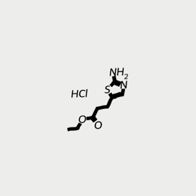 CCOC(=O)CCc1cnc(N)s1.Cl